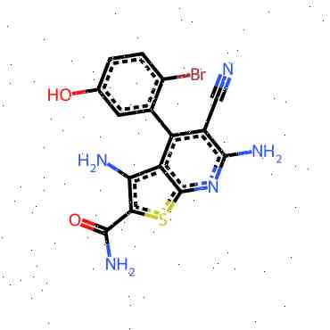 N#Cc1c(N)nc2sc(C(N)=O)c(N)c2c1-c1cc(O)ccc1Br